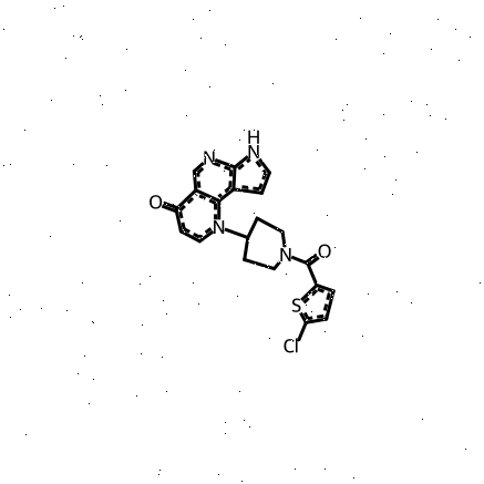 O=C(c1ccc(Cl)s1)N1CCC(n2ccc(=O)c3cnc4[nH]ccc4c32)CC1